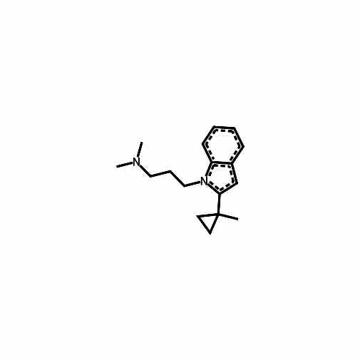 CN(C)CCCn1c(C2(C)CC2)cc2ccccc21